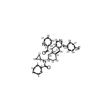 O=C(c1ccccc1)N(C1CC1)[C@H]1CCC2=Cc3c(cnn3-c3ccc(F)cc3)C[C@]2(C(=O)c2ccccn2)C1